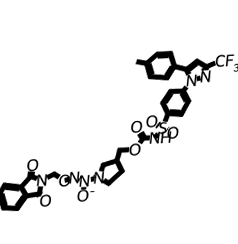 Cc1ccc(-c2cc(C(F)(F)F)nn2-c2ccc(S(=O)(=O)NC(=O)OCC3CCN([N+]([O-])=NOCN4C(=O)c5ccccc5C4=O)C3)cc2)cc1